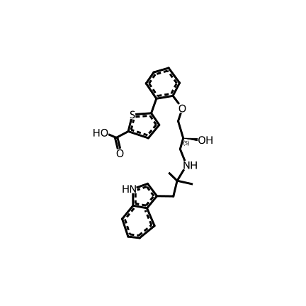 CC(C)(Cc1c[nH]c2ccccc12)NC[C@H](O)COc1ccccc1-c1ccc(C(=O)O)s1